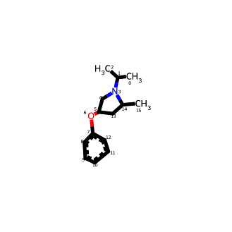 CC(C)N1CC(Oc2ccccc2)CC1C